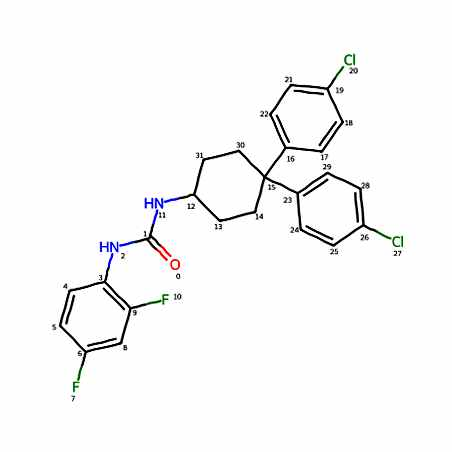 O=C(Nc1ccc(F)cc1F)NC1CCC(c2ccc(Cl)cc2)(c2ccc(Cl)cc2)CC1